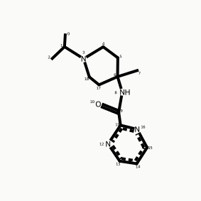 CC(C)N1CCC(C)(NC(=O)c2ncccn2)CC1